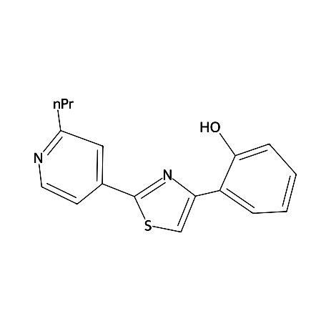 CCCc1cc(-c2nc(-c3ccccc3O)cs2)ccn1